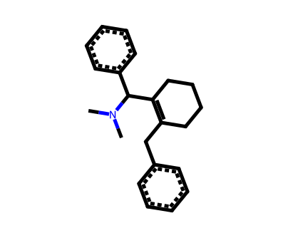 CN(C)C(C1=C(Cc2ccccc2)CCCC1)c1ccccc1